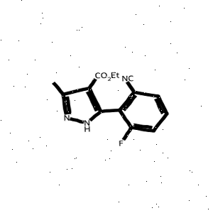 CCOC(=O)c1c(C)n[nH]c1-c1c(F)cccc1C#N